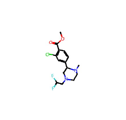 COC(=O)c1ccc(C2CN(CC(F)F)CCN2C)cc1Cl